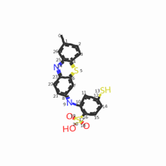 Cc1ccc2sc3c/c(=N\c4cc(S)ccc4S(=O)(=O)O)ccc-3nc2c1